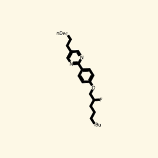 CCCCCCCCCCCCc1cnc(-c2ccc(OCC(F)CCCC(C)CC)cc2)nc1